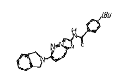 CC(C)(C)c1ccc(C(=O)Nc2cn3nc(N4Cc5ccccc5C4)ccc3n2)cc1